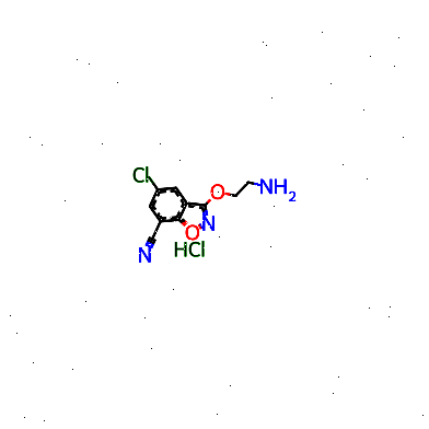 Cl.N#Cc1cc(Cl)cc2c(OCCN)noc12